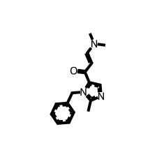 Cc1ncc(C(=O)C=CN(C)C)n1Cc1ccccc1